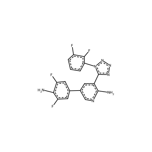 Nc1ncc(-c2cc(F)c(N)c(F)c2)cc1-c1nnnn1-c1cccc(F)c1F